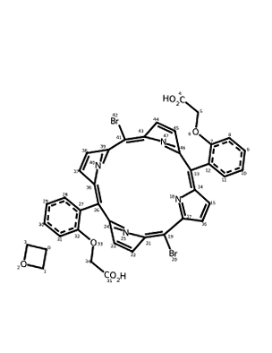 C1COC1.O=C(O)COc1ccccc1C1=C2C=CC(=N2)C(Br)=C2C=CC(=N2)C(c2ccccc2OCC(=O)O)=C2C=CC(=N2)C(Br)=C2C=CC1=N2